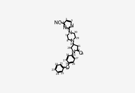 N#Cc1ccnc(N2CCN(C3CC(=O)N(c4ccc(Oc5ccccc5)cc4)C3)CC2)n1